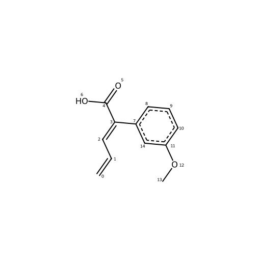 C=C/C=C(/C(=O)O)c1cccc(OC)c1